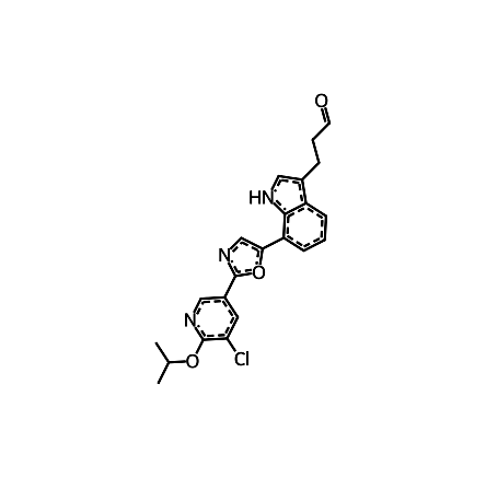 CC(C)Oc1ncc(-c2ncc(-c3cccc4c(CCC=O)c[nH]c34)o2)cc1Cl